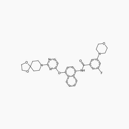 O=C(Nc1ccc(Oc2ccnc(N3CCC4(CC3)OCCO4)n2)c2ccccc12)c1cc(F)cc(N2CCOCC2)c1